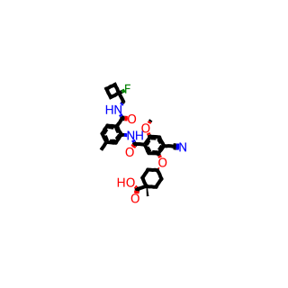 COc1cc(C#N)c(O[C@H]2CC[C@@](C)(C(=O)O)CC2)cc1C(=O)Nc1cc(C)ccc1C(=O)NCC1(F)CCC1